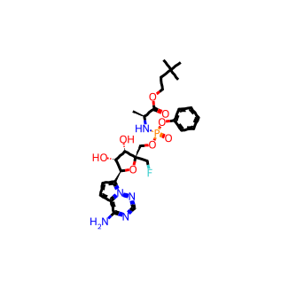 C[C@H](N[P@](=O)(OC[C@@]1(CF)O[C@@H](c2ccc3c(N)ncnn23)[C@H](O)[C@@H]1O)Oc1ccccc1)C(=O)OCCC(C)(C)C